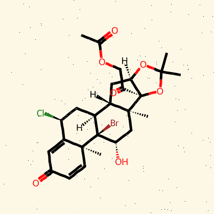 CC(=O)OCC(=O)[C@@]12OC(C)(C)O[C@@H]1C[C@H]1[C@@H]3C[C@H](Cl)C4=CC(=O)C=C[C@]4(C)[C@@]3(Br)[C@@H](O)C[C@@]12C